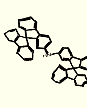 C1=CC2=C(CC1)c1ccccc1C21c2ccccc2-c2ccc(Nc3ccc4c(c3)C3(c5ccccc5-c5ccccc53)c3ccccc3-4)cc21